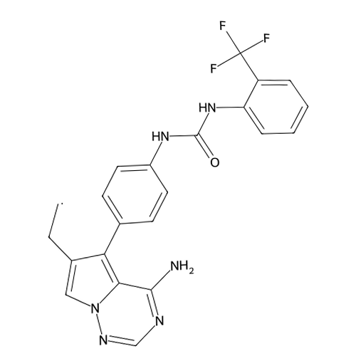 [CH2]Cc1cn2ncnc(N)c2c1-c1ccc(NC(=O)Nc2ccccc2C(F)(F)F)cc1